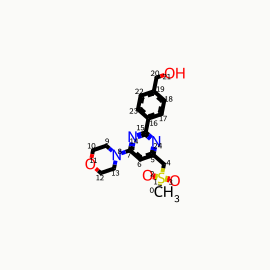 CS(=O)(=O)Cc1cc(N2CCOCC2)nc(-c2ccc(CO)cc2)n1